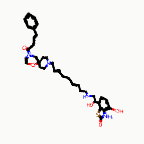 O=C(CCCc1ccccc1)N1CCOC2(CCN(CCCCCCCCCNCC(O)c3ccc(O)c4[nH]c(=O)sc34)CC2)C1